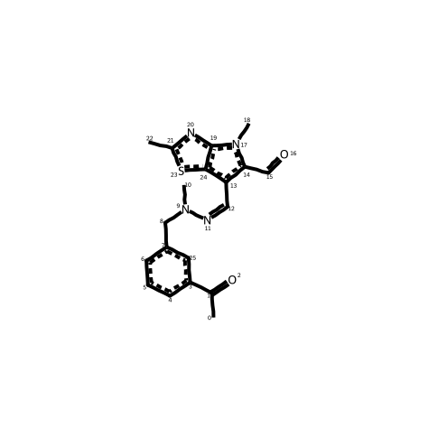 CC(=O)c1cccc(CN(C)/N=C\c2c(C=O)n(C)c3nc(C)sc23)c1